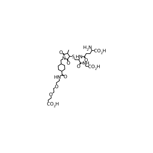 CC1C(=O)N(CC2CCC(C(=O)NCCOCCOCCC(=O)O)CC2)C(=O)C1SCC(NC(=O)CCC(N)C(=O)O)C(=O)NCC(=O)O